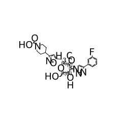 CO[C@@H]1[C@@H](n2cc(-c3cccc(F)c3)nn2)[C@@H](O)[C@@H](CO)O[C@@H]1Cc1cc(C2CCN(C(=O)O)CC2)no1